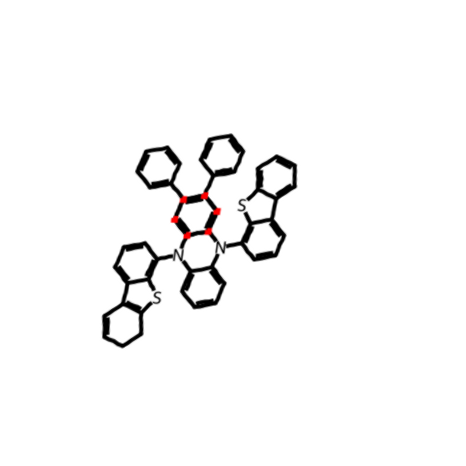 C1=Cc2c(sc3c(N(c4ccc(-c5ccccc5)cc4)c4ccccc4N(c4ccc(-c5ccccc5)cc4)c4cccc5c4sc4ccccc45)cccc23)CC1